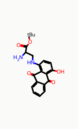 CC(C)(C)OC(=O)C(N)CNc1ccc(O)c2c1C(=O)c1ccccc1C2=O